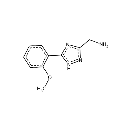 COc1ccccc1-c1nc(CN)n[nH]1